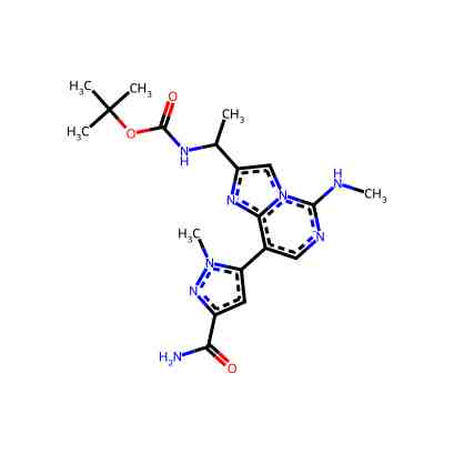 CNc1ncc(-c2cc(C(N)=O)nn2C)c2nc(C(C)NC(=O)OC(C)(C)C)cn12